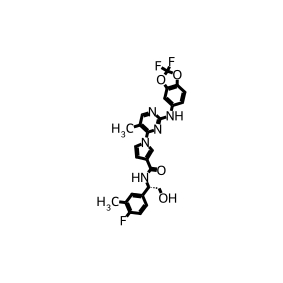 Cc1cc([C@@H](CO)NC(=O)c2ccn(-c3nc(Nc4ccc5c(c4)OC(F)(F)O5)ncc3C)c2)ccc1F